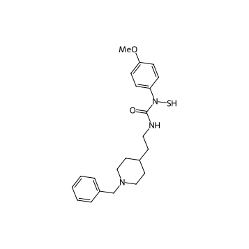 COc1ccc(N(S)C(=O)NCCC2CCN(Cc3ccccc3)CC2)cc1